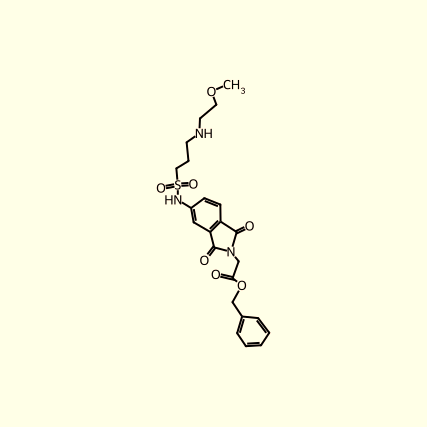 COCCNCCCS(=O)(=O)Nc1ccc2c(c1)C(=O)N(CC(=O)OCc1ccccc1)C2=O